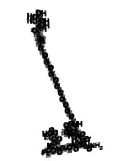 CC[C@@]1(O)C(=O)OCc2c1cc1n(c2=O)Cc2c-1nc1cc(F)c(C)c3c1c2[C@@H](NC(=O)OCc1ccc(NC(=O)[C@H](CCCNC(N)=O)NC(=O)[C@@H](NC(=O)[C@H](CCCCNC(=O)CCOCCOCCOCCOCCOCCOCCOCCOCCOCCOCCOCCOCCn2cc(CCC(=O)NC[C@H](O)[C@@H](O)[C@H](O)[C@H](O)CO)nn2)NC(=O)CCCCCN2C(=O)C=CC2=O)C(C)C)cc1)CC3